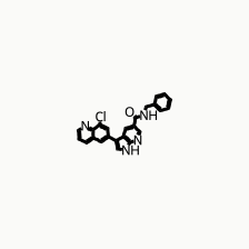 O=C(NCc1ccccc1)c1cnc2[nH]cc(-c3cc(Cl)c4ncccc4c3)c2c1